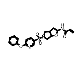 C=CC(=O)NC1CC2CN(S(=O)(=O)c3ccc(Oc4ccccc4)nc3)CC2O1